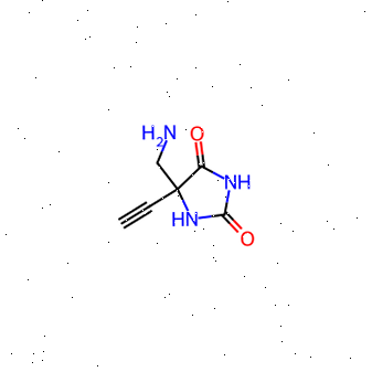 C#CC1(CN)NC(=O)NC1=O